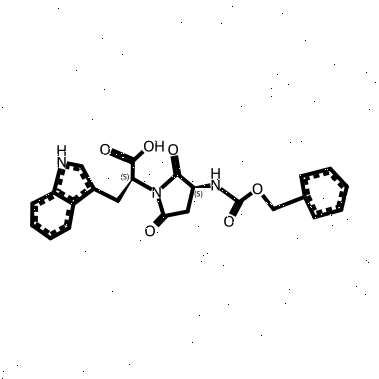 O=C(N[C@H]1CC(=O)N([C@@H](Cc2c[nH]c3ccccc23)C(=O)O)C1=O)OCc1ccccc1